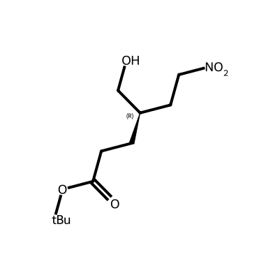 CC(C)(C)OC(=O)CC[C@@H](CO)CC[N+](=O)[O-]